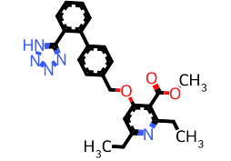 CCc1cc(OCc2ccc(-c3ccccc3-c3nnn[nH]3)cc2)c(C(=O)OC)c(CC)n1